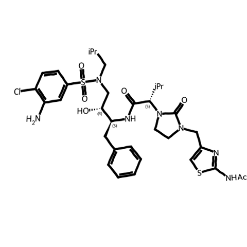 CC(=O)Nc1nc(CN2CCN([C@H](C(=O)N[C@@H](Cc3ccccc3)[C@H](O)CN(CC(C)C)S(=O)(=O)c3ccc(Cl)c(N)c3)C(C)C)C2=O)cs1